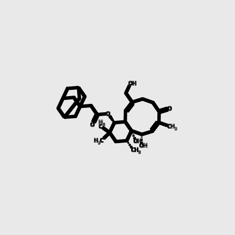 C/C1=C/[C@H](O)[C@]2(O)C(/C=C(/CO)CCC1=O)[C@H](OC(=O)CC13CC4CC(CC(C4)C1)C3)C(C)(C)C[C@H]2C